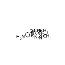 COc1ncnc(N(C)S(=O)(=O)c2ccc(N)cc2)c1OC